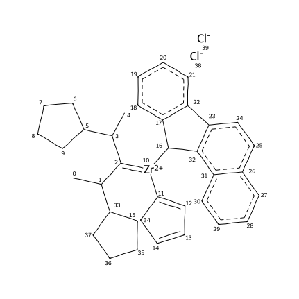 CC([C](C(C)C1CCCC1)=[Zr+2]([C]1=CC=CC1)[CH]1c2ccccc2-c2ccc3ccccc3c21)C1CCCC1.[Cl-].[Cl-]